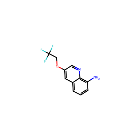 Nc1cccc2cc(OCC(F)(F)F)cnc12